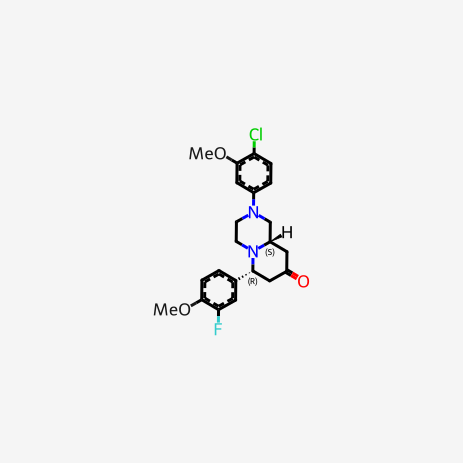 COc1ccc([C@H]2CC(=O)C[C@H]3CN(c4ccc(Cl)c(OC)c4)CCN32)cc1F